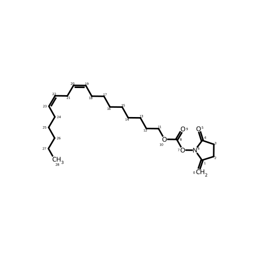 C=C1CCC(=O)N1OC(=O)OCCCCCCCC/C=C\C/C=C\CCCCC